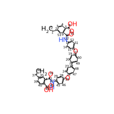 C=Cc1ccc(C(=O)O)c(C(=O)Nc2ccc(Oc3ccc(-c4ccc(Oc5ccc(NC(=O)c6cc(C=C)ccc6C(=O)O)cc5)cc4)cc3)cc2)c1